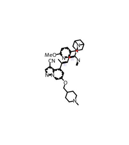 C=N/C(=C\C=C(/C)c1cc(OCC2CCN(C)CC2)cn2ncc(C#N)c12)N1CC2CC(C1)N2Cc1ccc(OC)nc1